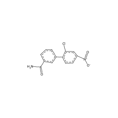 NC(=O)c1cccc(-c2ccc([N+](=O)[O-])cc2Cl)c1